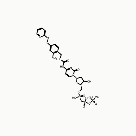 O=C(Nc1ccn([C@H]2CC(O)[C@@H](COP(=O)(O)OP(=O)(O)OP(=O)(O)O)O2)c(=O)n1)OCc1ccc(SSc2ccccn2)cc1[N+](=O)[O-]